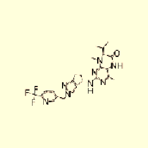 Cc1nc(N[C@H]2CCc3nn(Cc4ccc(C(F)(F)F)nc4)cc32)nc2c1NC(=O)[C@H](C(C)C)N2C